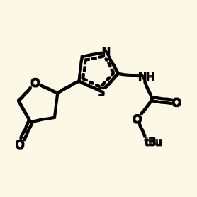 CC(C)(C)OC(=O)Nc1ncc(C2CC(=O)CO2)s1